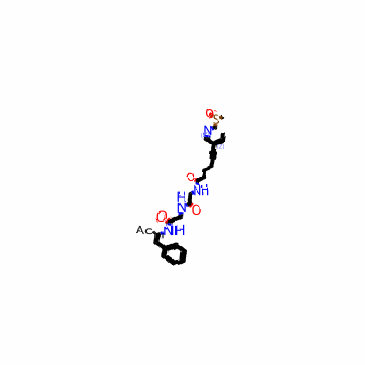 C/C=C(C#CCCCC(=O)NCC(=O)NCC(=O)N[C@@H](Cc1ccccc1)C(C)=O)\C=N/C[S+](C)[O-]